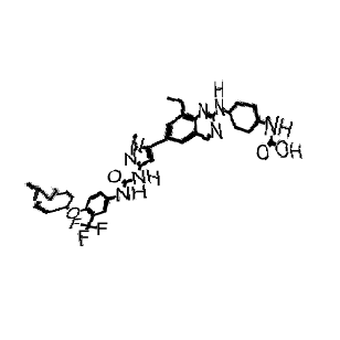 CCc1cc(-c2cc(NC(=O)Nc3ccc(OC4CCN(C)CC4)c(C(F)(F)F)c3)nn2C)cc2cnc(NC3CCC(NC(=O)O)CC3)nc12